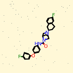 O=C(Nc1ccc(Oc2ccc(F)cc2)cc1)N1CC2CC1CN2C1CCc2cc(F)ccc2C1